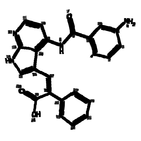 Nc1cccc(C(=O)Nc2ccnc3[nH]cc(C=C(C(=O)O)c4ccccc4)c23)c1